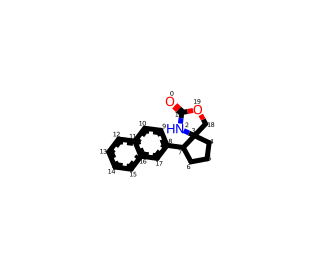 O=C1NC2(CCCC2c2ccc3ccccc3c2)CO1